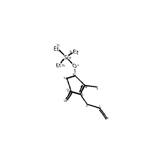 C=CCC1=C(C)[C@@H](O[Si](CC)(CC)CC)CC1=C